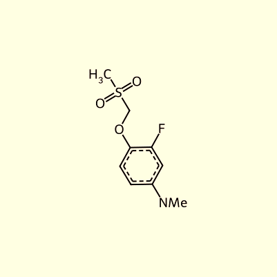 CNc1ccc(OCS(C)(=O)=O)c(F)c1